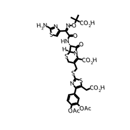 CC(=O)Oc1ccc(-c2nc(SCC3=C(C(=O)O)N4C(=O)[C@@H](NC(=O)/C(=N\OC(C)(C)C(=O)O)c5csc(N)n5)[C@H]4SC3)sc2CC(=O)O)cc1OC(C)=O